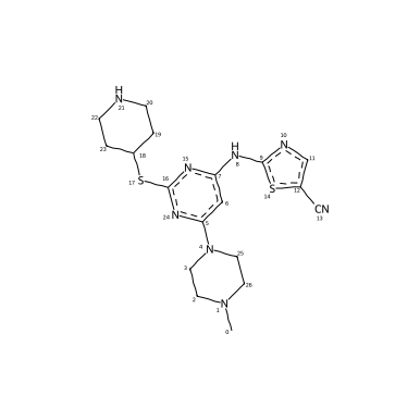 CN1CCN(c2cc(Nc3ncc(C#N)s3)nc(SC3CCNCC3)n2)CC1